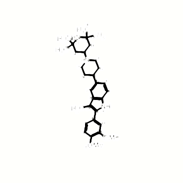 COc1ccc(-c2[nH]c3ccc(C4CCN(C5CC(C)(C)NC(C)(C)C5)CC4)cc3c2C)cc1OC